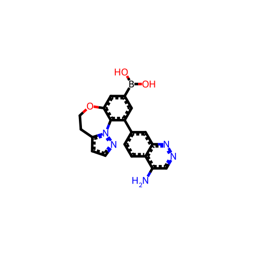 Nc1cnnc2cc(-c3cc(B(O)O)cc4c3-n3nccc3CCO4)ccc12